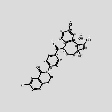 O=C1c2cc(F)ccc2CCN1c1ccc(C(=O)N2CCC(F)(F)[C@](O)(CO)c3cc(Cl)ccc32)cc1